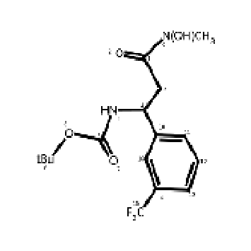 CN(O)C(=O)CC(NC(=O)OC(C)(C)C)c1cccc(C(F)(F)F)c1